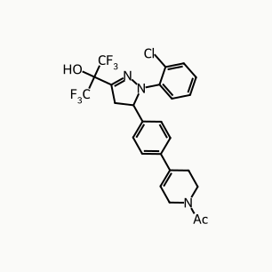 CC(=O)N1CC=C(c2ccc(C3CC(C(O)(C(F)(F)F)C(F)(F)F)=NN3c3ccccc3Cl)cc2)CC1